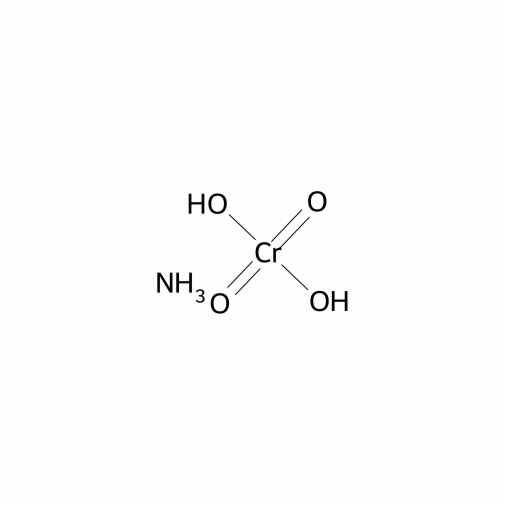 N.[O]=[Cr](=[O])([OH])[OH]